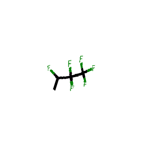 C[C](F)C(F)(F)C(F)(F)F